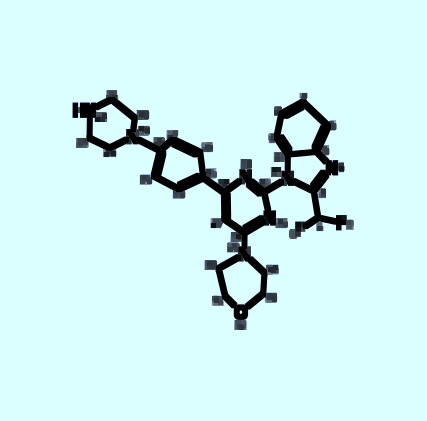 FC(F)c1nc2ccccc2n1-c1nc(-c2ccc(N3CCNCC3)cc2)cc(N2CCOCC2)n1